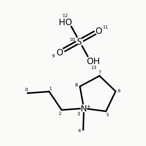 CCC[N+]1(C)CCCC1.O=S(=O)(O)O